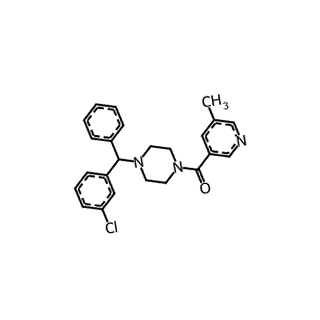 Cc1cncc(C(=O)N2CCN(C(c3ccccc3)c3cccc(Cl)c3)CC2)c1